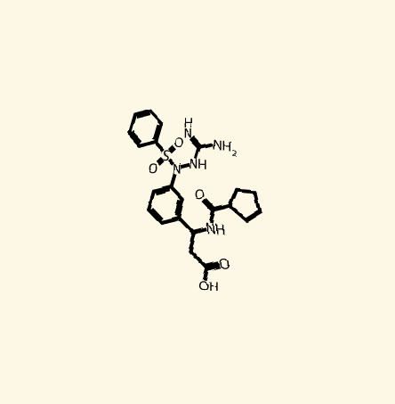 N=C(N)NN(c1cccc(C(CC(=O)O)NC(=O)C2CCCC2)c1)S(=O)(=O)c1ccccc1